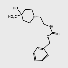 O=C(NCCN1CCC(O)(C(=O)O)CC1)OCc1ccccc1